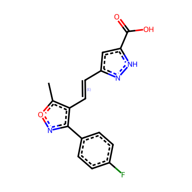 Cc1onc(-c2ccc(F)cc2)c1/C=C/c1cc(C(=O)O)[nH]n1